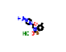 Cc1ccc2sc(=O)n(CC(=O)N3CCN(N)CC3)c2c1.Cl